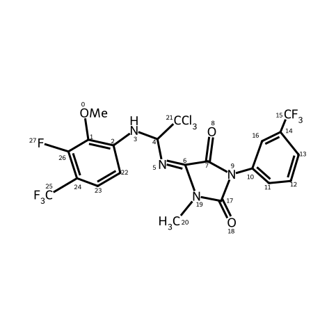 COc1c(NC(N=C2C(=O)N(c3cccc(C(F)(F)F)c3)C(=O)N2C)C(Cl)(Cl)Cl)ccc(C(F)(F)F)c1F